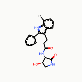 CCc1cccc2c(CCC(=O)N[C@@H]3C(=O)NC[C@H]3O)c(-c3ccccc3)[nH]c12